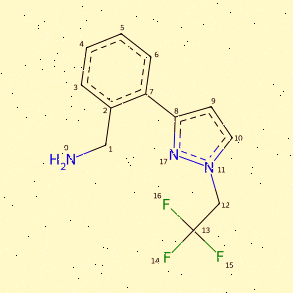 NCc1ccccc1-c1ccn(CC(F)(F)F)n1